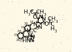 Cc1nc2c(OC(C)C)nnc(OC(C)C)c2n1Cc1ccc(-c2ccccc2-c2nnn[nH]2)cc1